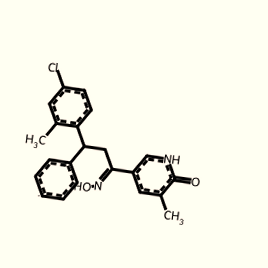 Cc1cc(Cl)ccc1C(C/C(=N\O)c1c[nH]c(=O)c(C)c1)c1cc[c]cc1